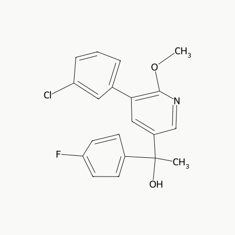 COc1ncc(C(C)(O)c2ccc(F)cc2)cc1-c1cccc(Cl)c1